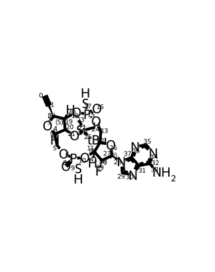 C#C[C@@H]1O[C@@H]2COP(=O)(S)O[C@@H]3C(COP(=O)(S)O[C@@H]1C2O[Si](C)(C)C(C)(C)C)O[C@@H](n1cnc2c(N)ncnc21)[C@@H]3F